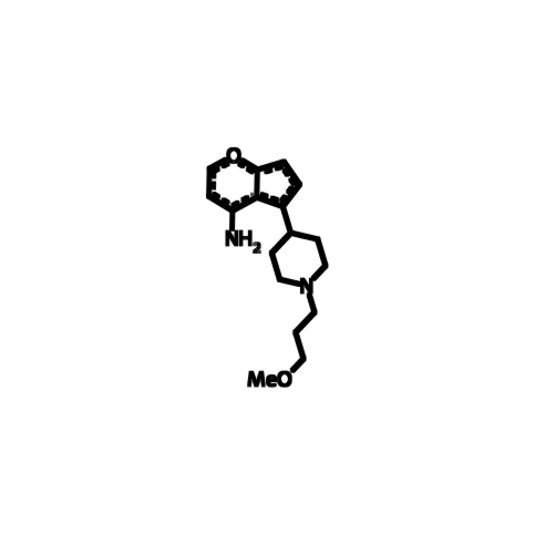 COCCCN1CCC(c2ccc3occc(N)c2-3)CC1